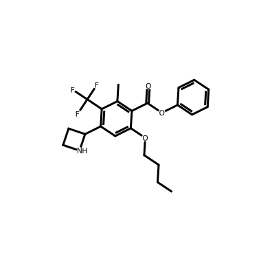 CCCCOc1cc(C2CCN2)c(C(F)(F)F)c(C)c1C(=O)Oc1ccccc1